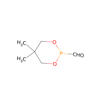 CC1(C)COP(C=O)OC1